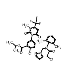 CC(C)OC(=O)c1cc(-n2c(=O)cc(C(F)(F)F)n(C)c2=O)ccc1Cl.Cc1cccc(C)c1N(Cn1cccn1)C(=O)CCl